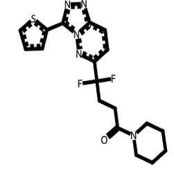 O=C(CCC(F)(F)c1ccc2nnc(-c3cccs3)n2n1)N1CCCCC1